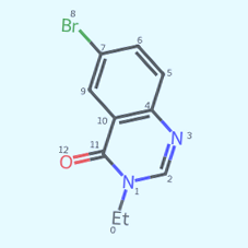 CCn1cnc2ccc(Br)cc2c1=O